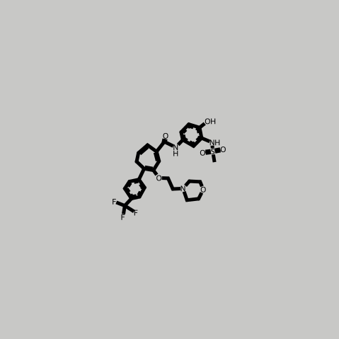 CS(=O)(=O)Nc1cc(NC(=O)C2=CC(OCCN3CCOCC3)=C(c3ccc(C(F)(F)F)cc3)CC=C2)ccc1O